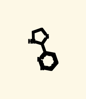 c1cnnc(C2NCCS2)c1